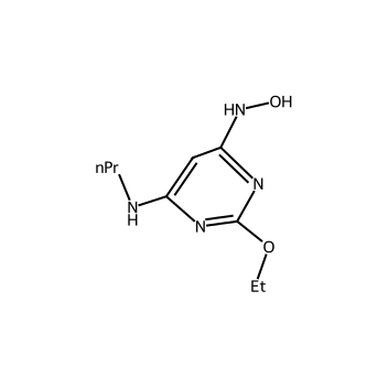 CCCNc1cc(NO)nc(OCC)n1